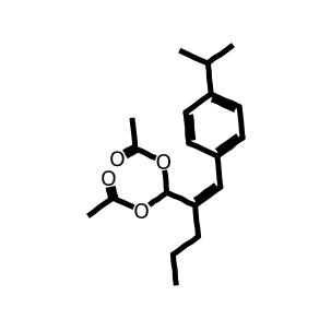 CCCC(=Cc1ccc(C(C)C)cc1)C(OC(C)=O)OC(C)=O